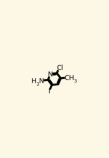 Cc1cc(I)c(N)nc1Cl